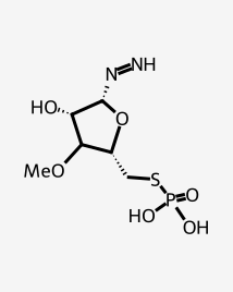 COC1[C@@H](CSP(=O)(O)O)O[C@@H](N=N)[C@H]1O